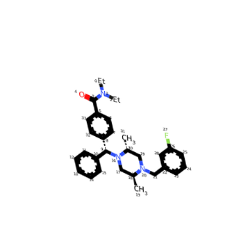 CCN(CC)C(=O)c1ccc([C@@H](c2ccccc2)N2C[C@H](C)N(Cc3cccc(F)c3)C[C@H]2C)cc1